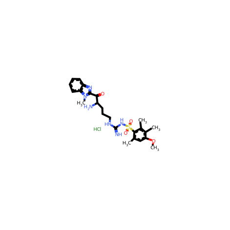 COc1cc(C)c(S(=O)(=O)NC(=N)NCCCC(N)C(=O)c2nc3ccccc3n2C)c(C)c1C.Cl